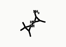 CC1C(N)[SiH]1[SiH]1C(C)C1(C)C